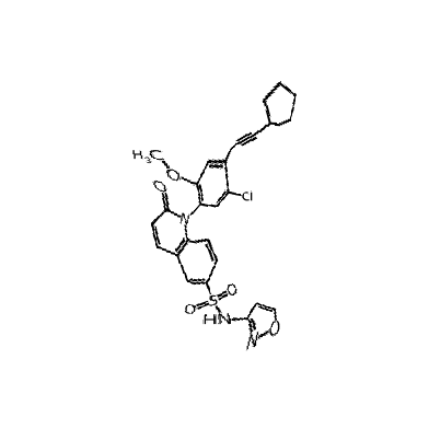 COc1cc(C#CC2CCCC2)c(Cl)cc1-n1c(=O)ccc2cc(S(=O)(=O)Nc3ccon3)ccc21